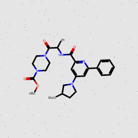 CCCCOC(=O)N1CCN(C(=O)C(NC(=O)c2cc(N3CCC(OC)C3)cc(-c3ccccc3)n2)C(C)C)CC1